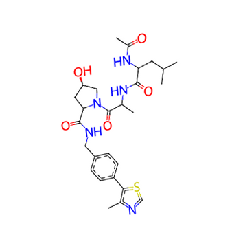 CC(=O)NC(CC(C)C)C(=O)NC(C)C(=O)N1C[C@H](O)CC1C(=O)NCc1ccc(-c2scnc2C)cc1